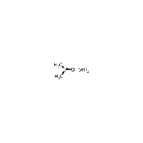 C[S+](C)[O-].[SeH2]